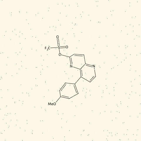 COc1ccc(-c2ccnc3ccc(OS(=O)(=O)C(F)(F)F)nc23)cc1